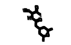 CC1CC(CC(=O)NC(C(=O)I)C(C)(C)C)CC(C)O1